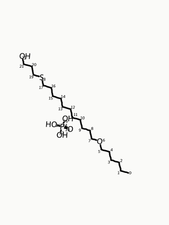 CCCCCCOCCCCCCCCCCCSCCCO.O=P(O)(O)O